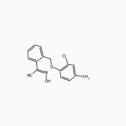 Cc1ccc(OCc2ccccc2C(C#N)=NO)c(Cl)c1